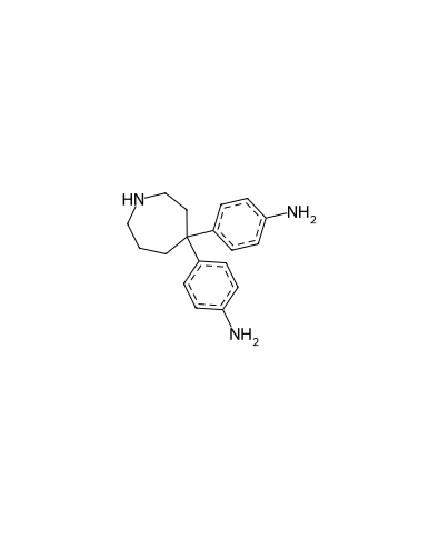 Nc1ccc(C2(c3ccc(N)cc3)CCCNCC2)cc1